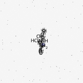 Cl.Nc1ncnc(Nc2ccc(OCc3ccccc3)c(Cl)c2)c1/C=N\OCCN1CCOCC1